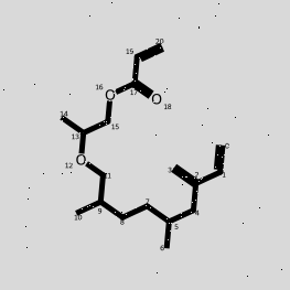 C=CC(=C)CC(C)CCC(C)COC(C)COC(=O)C=C